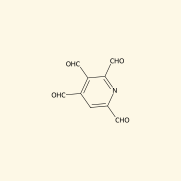 O=Cc1cc(C=O)c(C=O)c(C=O)n1